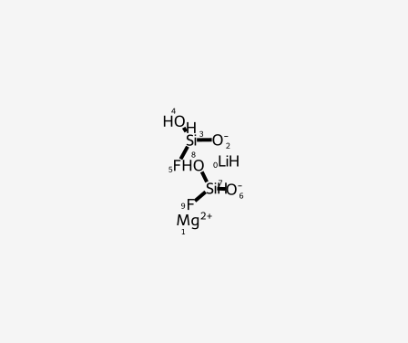 [LiH].[Mg+2].[O-][SiH](O)F.[O-][SiH](O)F